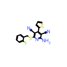 N#Cc1c(N)nc(SCc2ccccc2F)c(C#N)c1-c1cccs1